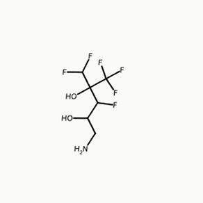 NCC(O)C(F)C(O)(C(F)F)C(F)(F)F